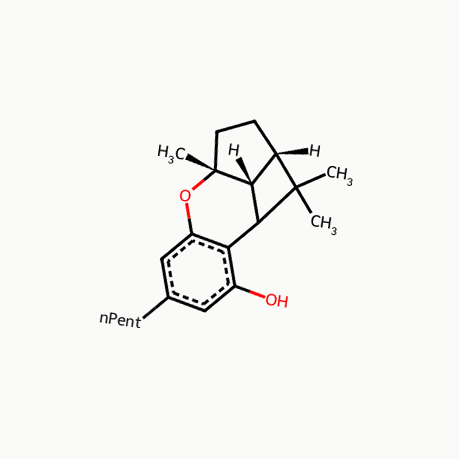 CCCCCc1cc(O)c2c(c1)O[C@]1(C)CC[C@H]3[C@@H]1C2C3(C)C